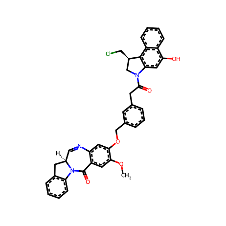 COc1cc2c(cc1OCc1cccc(CC(=O)N3C[C@@H](CCl)c4c3cc(O)c3ccccc43)c1)N=C[C@@H]1Cc3ccccc3N1C2=O